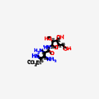 CCOC(=O)C(=N)/C(N)=C(\N)C(=O)NC1OC(CO)C(O)C1O